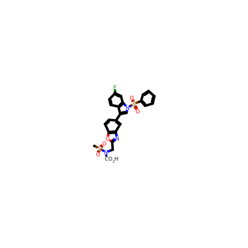 CS(=O)(=O)N(Cc1nc2cc(-c3cn(S(=O)(=O)c4ccccc4)c4cc(F)ccc34)ccc2o1)C(=O)O